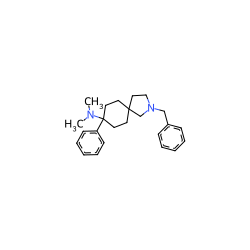 CN(C)C1(c2ccccc2)CCC2(CCN(Cc3ccccc3)C2)CC1